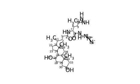 CC(CCC(=O)NC(CCC1(C)NN1)C(=O)NCN=[N+]=[N-])C1CCC2C3C(O)CC4CC(O)CCC4(C)C3CCC12C